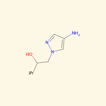 CC(C)C(O)Cn1cc(N)cn1